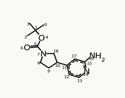 CC(C)(C)OC(=O)N1CCC(c2ccnc(N)c2)C1